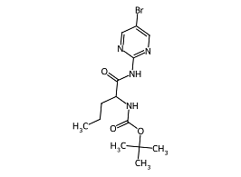 CCCC(NC(=O)OC(C)(C)C)C(=O)Nc1ncc(Br)cn1